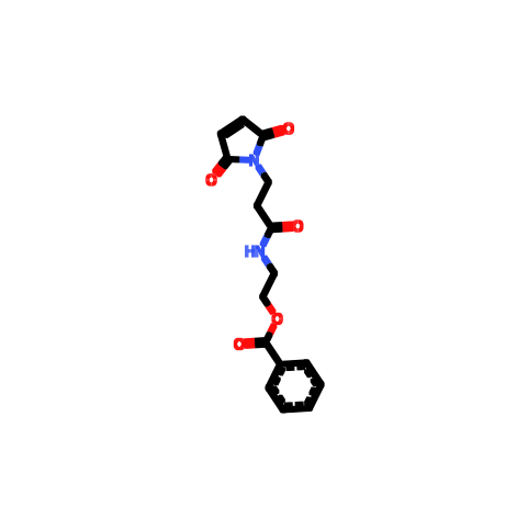 O=C(CCN1C(=O)C=CC1=O)NCCOC(=O)c1ccccc1